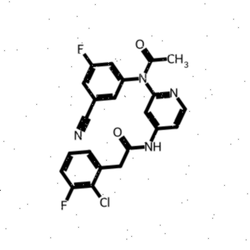 CC(=O)N(c1cc(F)cc(C#N)c1)c1cc(NC(=O)Cc2cccc(F)c2Cl)ccn1